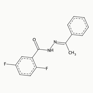 C/C(=N\NC(=O)c1cc(F)ccc1F)c1ccccc1